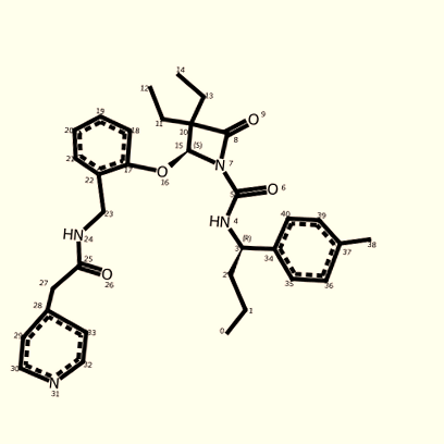 CCC[C@@H](NC(=O)N1C(=O)C(CC)(CC)[C@@H]1Oc1ccccc1CNC(=O)Cc1ccncc1)c1ccc(C)cc1